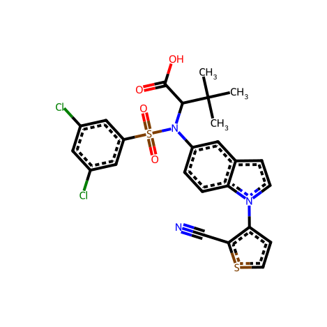 CC(C)(C)C(C(=O)O)N(c1ccc2c(ccn2-c2ccsc2C#N)c1)S(=O)(=O)c1cc(Cl)cc(Cl)c1